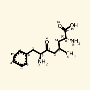 CC(CC(=O)C(N)Cc1ccccc1)C[C@@H](N)C(=O)O